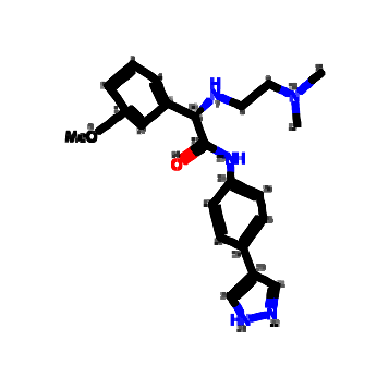 COc1cccc([C@@H](NCCN(C)C)C(=O)Nc2ccc(-c3cn[nH]c3)cc2)c1